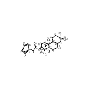 C[C@@H]1C[C@H](C(=O)Cn2ccnn2)[C@@]2(C)CC[C@H]3[C@@H](CC[C@@H]4C[C@](C)(O)CC[C@@H]43)[C@H]12